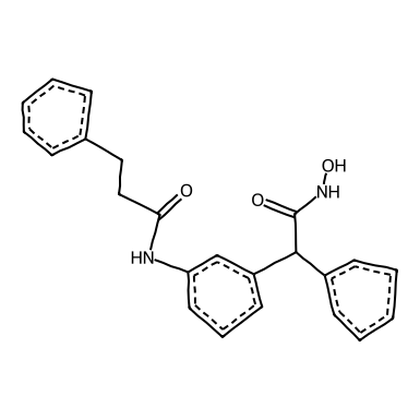 O=C(CCc1ccccc1)Nc1cccc(C(C(=O)NO)c2ccccc2)c1